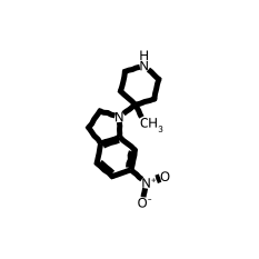 CC1(N2CCc3ccc([N+](=O)[O-])cc32)CCNCC1